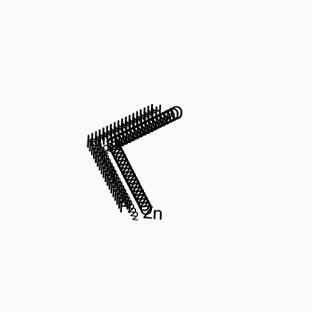 O.O.O.O.O.O.O.O.O.O.O.O.O.O.O.O.O.O.O.O.O.O.O.O.O.O.O.O.O.O.O.O.O.O.O.[Zn]